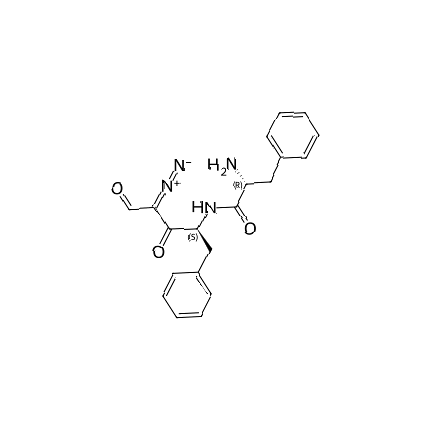 [N-]=[N+]=C(C=O)C(=O)[C@H](Cc1ccccc1)NC(=O)[C@H](N)Cc1ccccc1